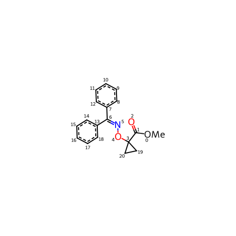 COC(=O)C1(ON=C(c2ccccc2)c2ccccc2)CC1